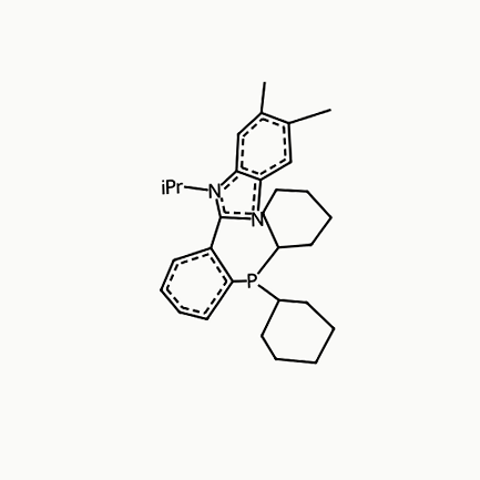 Cc1cc2nc(-c3ccccc3P(C3CCCCC3)C3CCCCC3)n(C(C)C)c2cc1C